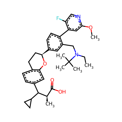 CCN(Cc1cc([C@@H]2CCc3ccc(C(C4CC4)[C@H](C)C(=O)O)cc3O2)ccc1-c1cc(OC)ncc1F)C(C)(C)C